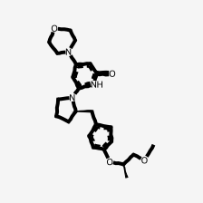 COC[C@@H](C)Oc1ccc(C[C@H]2CCCN2c2cc(N3CCOCC3)cc(=O)[nH]2)cc1